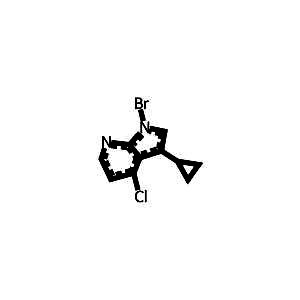 Clc1ccnc2c1c(C1CC1)cn2Br